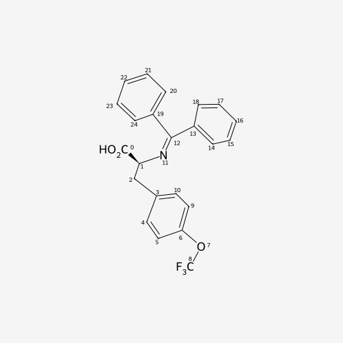 O=C(O)[C@H](Cc1ccc(OC(F)(F)F)cc1)N=C(c1ccccc1)c1ccccc1